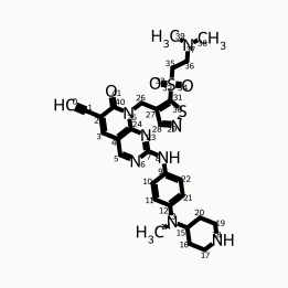 C#Cc1cc2cnc(Nc3ccc(N(C)C4CCNCC4)cc3)nc2n(Cc2cnsc2S(=O)(=O)CCN(C)C)c1=O